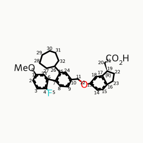 COc1ccc(F)c(-c2ccc(COc3ccc4c(c3)[C@@H](CC(=O)O)CC4)cc2C2CCCCCC2)c1